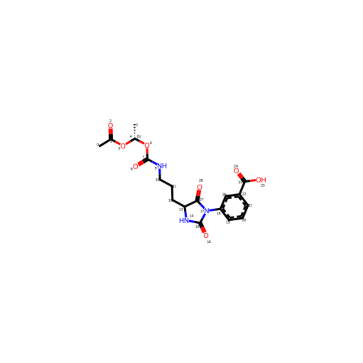 CC(=O)O[C@H](C)OC(=O)NCCCC1NC(=O)N(c2cccc(C(=O)O)c2)C1=O